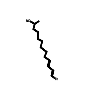 CC/C=C/C=C/CCCCCCCC(C)C#N